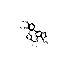 COc1ccc(-c2cc3ncn(C)c3c(O[C@H](C)[C@@H]3CCNC3)n2)cc1OC